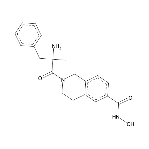 CC(N)(Cc1ccccc1)C(=O)N1CCc2cc(C(=O)NO)ccc2C1